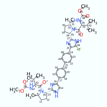 COC(=O)N[C@H](C(=O)N1C(C)CC[C@H]1c1nc(-c2ccc(-c3ccc(-c4nc([C@@H]5CC[C@H](C)N5C(=O)[C@@H](NC(=O)OC)C(C)C)[nH]c4F)cc3)cc2)c[nH]1)C(C)C